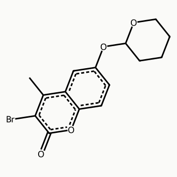 Cc1c(Br)c(=O)oc2ccc(OC3CCCCO3)cc12